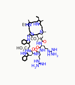 C=Cc1c(C)c2cc3nc(c(C)c4nc(cc5[nH]c(cc1[nH]2)c(C)c5CC)C(C)=C4C(=O)O)[C@@H](CCC(=O)N[C@@H](CCCNC(=N)N)C(=O)N[C@@H](CCCNC(=N)N)C(=O)N[C@@H](Cc1c[nH]c2ccccc12)C(=O)N[C@@H](Cc1c[nH]c2ccccc12)C(=O)O)[C@@H]3C